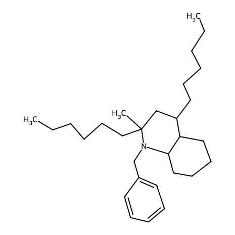 CCCCCCC1CC(C)(CCCCCC)N(Cc2ccccc2)C2CCCCC12